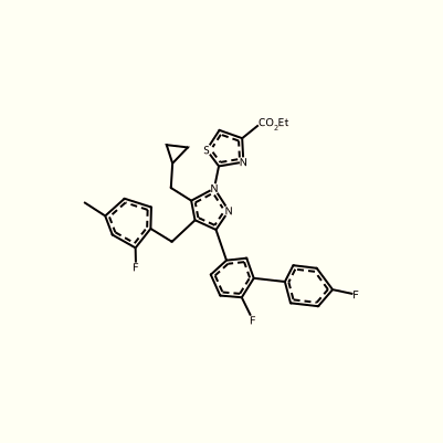 CCOC(=O)c1csc(-n2nc(-c3ccc(F)c(-c4ccc(F)cc4)c3)c(Cc3ccc(C)cc3F)c2CC2CC2)n1